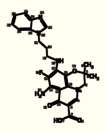 CC1(C)Cn2cc(C(=O)O)c(=O)c3c(N)c(F)c(NCCCn4cnc5ccccc54)c(c32)O1